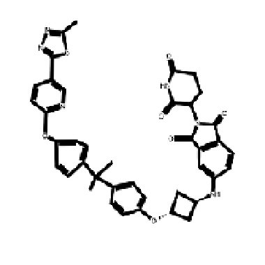 Cc1nnc(-c2ccc(Oc3ccc(C(C)(C)c4ccc(O[C@H]5C[C@H](Nc6ccc7c(c6)C(=O)N(C6CCC(=O)NC6=O)C7=O)C5)cc4)cc3)nc2)o1